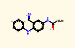 CNC(=O)Nc1ccc(Nc2ccccc2)c(C=N)c1